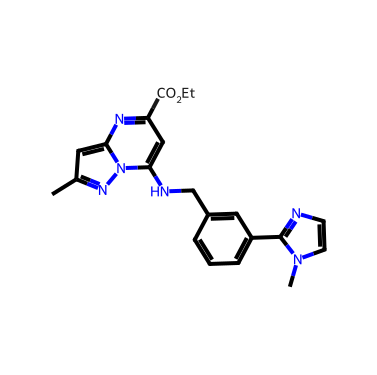 CCOC(=O)c1cc(NCc2cccc(-c3nccn3C)c2)n2nc(C)cc2n1